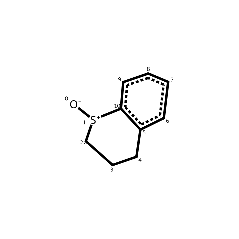 [O-][S+]1[C]CCc2ccccc21